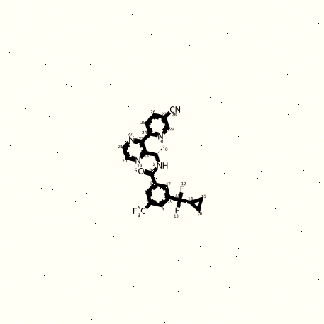 C[C@H](NC(=O)c1cc(C(F)(F)F)cc(C(F)(F)C2CC2)c1)c1nccnc1-c1ccc(C#N)cn1